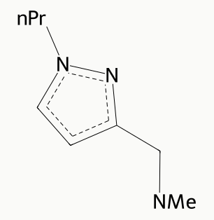 CCCn1ccc(CNC)n1